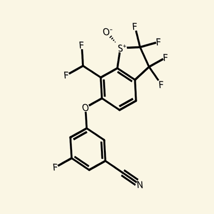 N#Cc1cc(F)cc(Oc2ccc3c(c2C(F)F)[S@+]([O-])C(F)(F)C3(F)F)c1